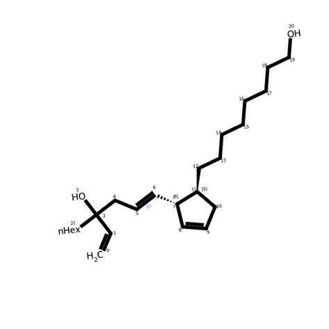 C=CC(O)(C/C=C/[C@H]1C=CC[C@@H]1CCCCCCCCO)CCCCCC